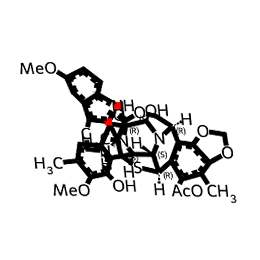 COc1ccc2[nH]c3c(c2c1)CCN[C@]31CS[C@@H]2c3c(OC(C)=O)c(C)c4c(c3[C@H](COC1=O)N1[C@H]2[C@@H]2c3c(cc(C)c(OC)c3O)C[C@H]([C@@H]1O)N2C)OCO4